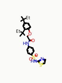 CCC(C)(C)c1ccc(OCC(=O)Nc2ccc(S(=O)(=O)Nc3nccs3)cc2)c(C(C)(C)CC)c1